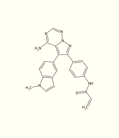 C=CC(=O)Nc1ccc(-c2nn3ncnc(N)c3c2-c2ccc3c(ccn3C)c2)cc1